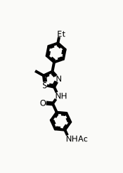 CCc1ccc(-c2nc(NC(=O)c3ccc(NC(C)=O)cc3)sc2C)cc1